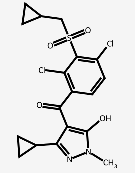 Cn1nc(C2CC2)c(C(=O)c2ccc(Cl)c(S(=O)(=O)CC3CC3)c2Cl)c1O